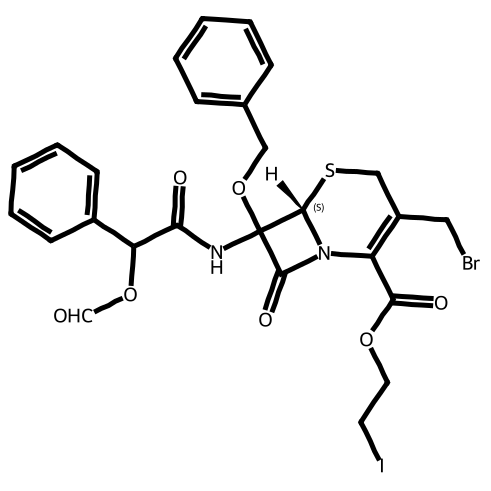 O=COC(C(=O)NC1(OCc2ccccc2)C(=O)N2C(C(=O)OCCI)=C(CBr)CS[C@H]21)c1ccccc1